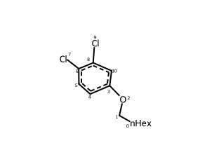 CCCCCCCOc1ccc(Cl)c(Cl)c1